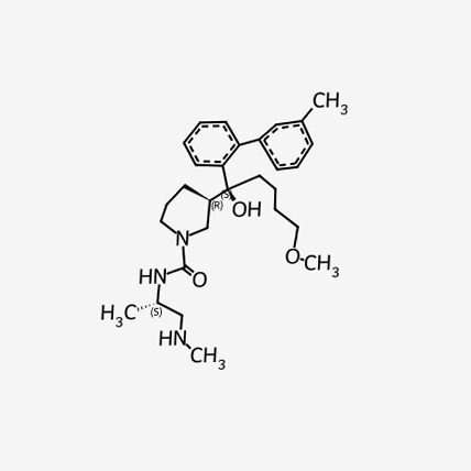 CNC[C@H](C)NC(=O)N1CCC[C@@H]([C@@](O)(CCCCOC)c2ccccc2-c2cccc(C)c2)C1